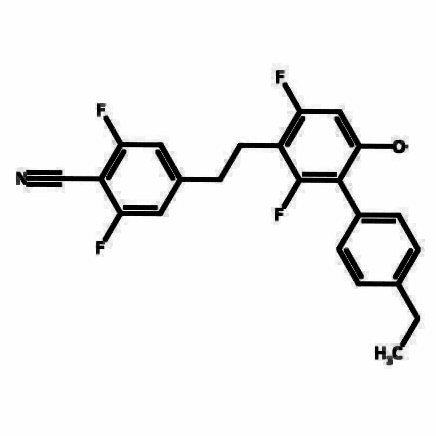 CCc1ccc(-c2c([O])cc(F)c(CCc3cc(F)c(C#N)c(F)c3)c2F)cc1